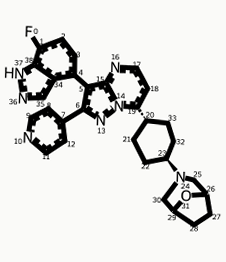 Fc1ccc(-c2c(-c3ccncc3)nn3c2nccc3[C@H]2CC[C@H](N3CC4CCC(C3)O4)CC2)c2cn[nH]c12